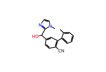 Cc1ccccc1-c1cc(C(O)c2nccn2C)ccc1C#N